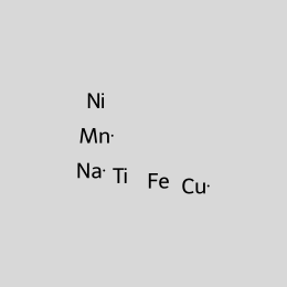 [Cu].[Fe].[Mn].[Na].[Ni].[Ti]